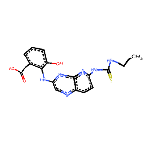 CCNC(=S)Nc1ccc2ncc(Nc3c(O)cccc3C(=O)O)nc2n1